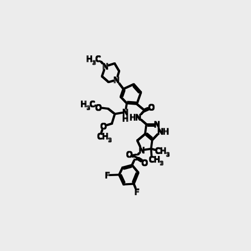 COCC(COC)Nc1cc(N2CCN(C)CC2)ccc1C(=O)Nc1n[nH]c2c1CN(S(=O)(=O)c1cc(F)cc(F)c1)C2(C)C